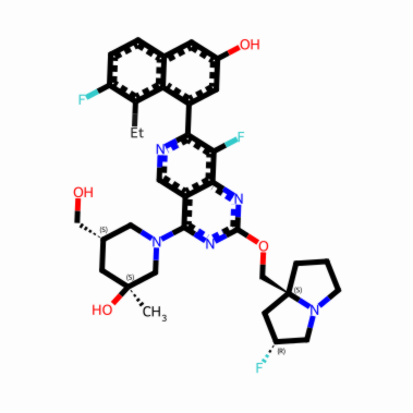 CCc1c(F)ccc2cc(O)cc(-c3ncc4c(N5C[C@@H](CO)C[C@](C)(O)C5)nc(OC[C@@]56CCCN5C[C@H](F)C6)nc4c3F)c12